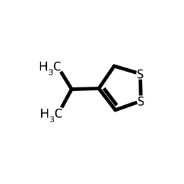 CC(C)C1=CSSC1